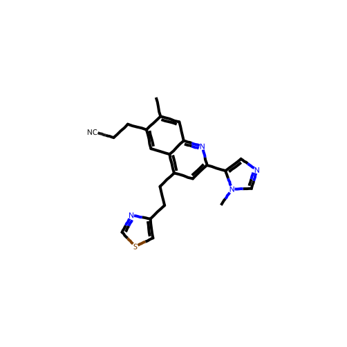 Cc1cc2nc(-c3cncn3C)cc(CCc3cscn3)c2cc1CCC#N